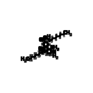 CCCCCCCCNc1cc(-c2c(NCCCCCCCC)ccc(N)c2N)c([N+](=O)[O-])cc1[N+](=O)[O-]